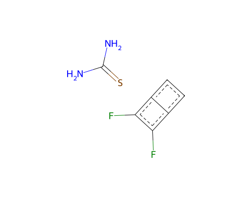 Fc1c2ccc-2c1F.NC(N)=S